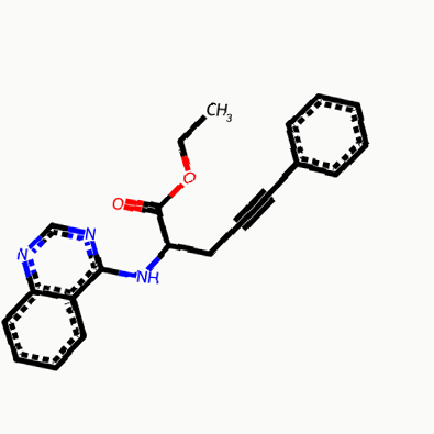 CCOC(=O)C(CC#Cc1ccccc1)Nc1ncnc2ccccc12